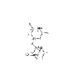 CC1CN(CC2C(=O)C3CCN2CC3)CC(C)N1